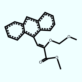 COCO/C(=C\c1c2ccccc2cc2ccccc12)C(=O)OC